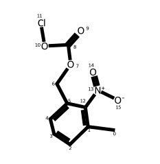 Cc1cccc(COC(=O)OCl)c1[N+](=O)[O-]